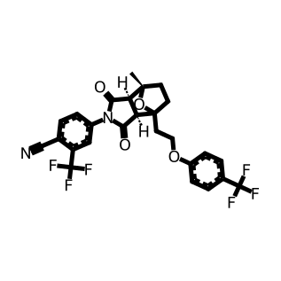 C[C@@]12CCC(CCOc3ccc(C(F)(F)F)cc3)(O1)[C@H]1C(=O)N(c3ccc(C#N)c(C(F)(F)F)c3)C(=O)[C@H]12